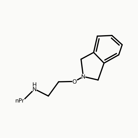 CCCNCCON1Cc2ccccc2C1